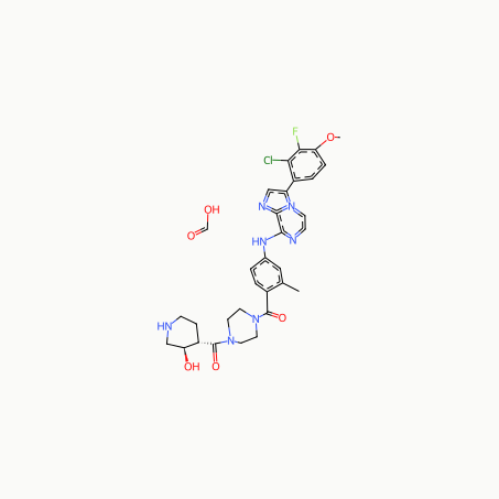 COc1ccc(-c2cnc3c(Nc4ccc(C(=O)N5CCN(C(=O)[C@H]6CCNC[C@@H]6O)CC5)c(C)c4)nccn23)c(Cl)c1F.O=CO